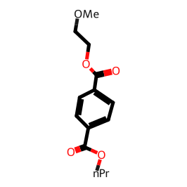 CCCOC(=O)c1ccc(C(=O)OCCOC)cc1